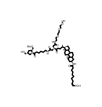 CCCCCCCC/C=C\CCCCCCCC(=O)N[C@H]1CC[C@@]2(C)C(CCC3C2CC[C@@]2(C)C3CC[C@@H]2[C@H](C)CCC(=O)N(CC(=O)NCCCCCC(=O)N2C[C@H](CO)C[C@H]2COC)CC(=O)NCCOCCOCCOCCC)C1